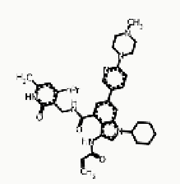 C=CC(=O)Nc1cn(C2CCCCC2)c2cc(-c3ccc(N4CCN(C)CC4)nc3)cc(C(=O)NCc3c(CCC)cc(C)[nH]c3=O)c12